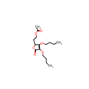 CCCCOC1=C(OCCCC)C(CCOC(C)=O)OC1=O